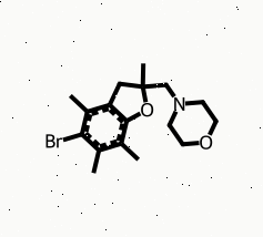 Cc1c(C)c2c(c(C)c1Br)CC(C)(CN1CCOCC1)O2